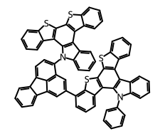 c1ccc(-n2c3ccccc3c3c4c5ccccc5sc4c4sc5c(-c6cc7c8c(ccc(-n9c%10ccccc%10c%10c%11c%12ccccc%12sc%11c%11sc%12ccccc%12c%11c%109)c8c6)-c6ccccc6-7)cccc5c4c32)cc1